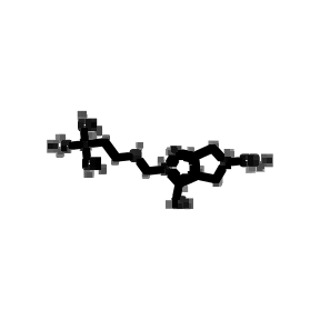 CC(C)(C)c1c2c(nn1COCC[Si](C)(C)C)CN(C(=O)O)C2